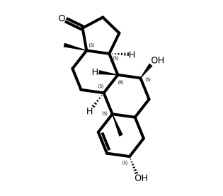 C[C@]12C=C[C@@H](O)CC1C[C@H](O)[C@@H]1[C@@H]2CC[C@]2(C)C(=O)CC[C@@H]12